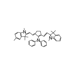 Cc1ccc2c(c1)C(C)(C)/C(=C\C=C1/CCC(/C=C/C3=[N+](C)c4ccccc4C3(C)C)=C1N(c1ccccc1)c1ccccc1)N2C